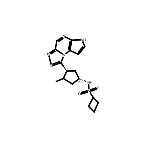 CC1C[C@@H](NS(=O)(=O)C2CCC2)C[C@@H]1c1nnc2cnc3[nH]ccc3n12